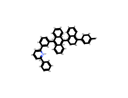 CC1=CC=C(C2=c3ccccc3=C(c3c4ccccc4c(-c4cccc(-c5cccc(-c6ccccc6)n5)c4)c4ccccc34)CC2)CC1